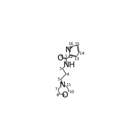 O=C(NCCCN1CCOCC1)c1ccccn1